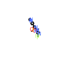 CCS(=O)(=O)c1cc(-c2ccc(-n3cccn3)cc2)cnc1-c1nc2cc(C(F)(F)F)ncc2n1C